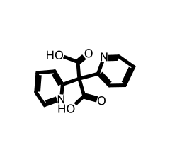 O=C(O)C(C(=O)O)(c1ccccn1)c1ccccn1